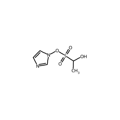 CC(O)S(=O)(=O)On1ccnc1